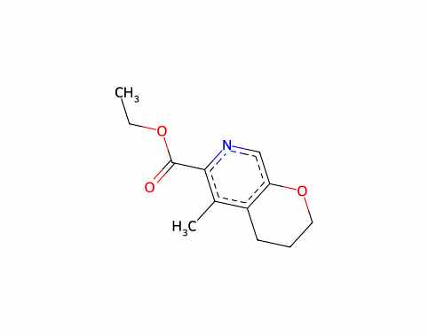 CCOC(=O)c1ncc2c(c1C)CCCO2